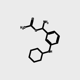 CC(=O)OC(N)c1cccc(NC2CCCCC2)c1